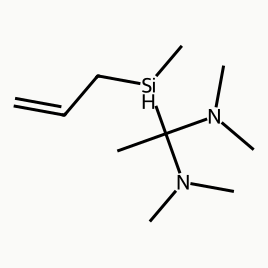 C=CC[SiH](C)C(C)(N(C)C)N(C)C